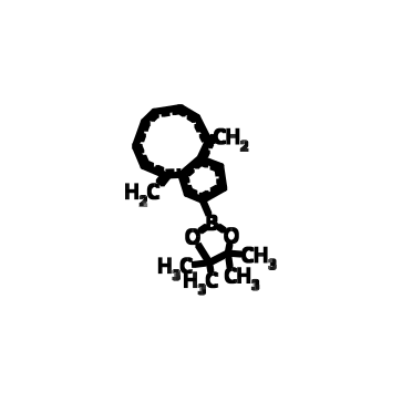 C=c1ccccccc(=C)c2cc(B3OC(C)(C)C(C)(C)O3)ccc12